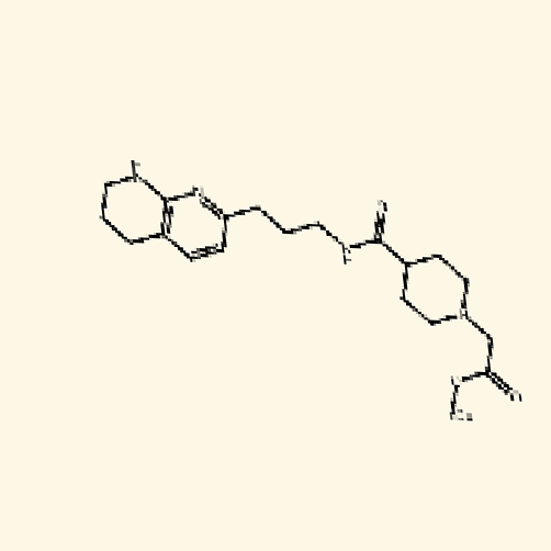 CCCCOC(=O)CN1CCC(C(=O)NCCCc2ccc3c(n2)NCCC3)CC1